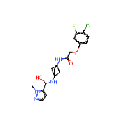 Cn1nccc1C(O)NC12CC(NC(=O)COc3ccc(Cl)c(F)c3)(C1)C2